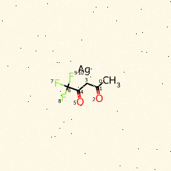 CC(=O)CC(=O)C(F)(F)F.[Ag]